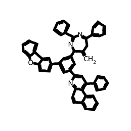 C=C1CC(c2ccccc2)=NC(c2ccccc2)=NC1c1cc(-c2ccc3oc4ccccc4c3c2)cc(-c2cc(-c3ccccc3)c3c(ccc4ccccc43)n2)c1